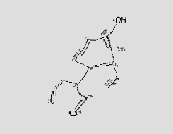 O=[C]C([C]=O)c1ccc(O)cc1F